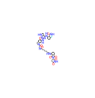 CNC(=O)c1c(F)cccc1Nc1nc(Nc2cc3c(cc2OC)CCN3C(=O)CN(C)C(=O)CCCCCCNc2cccc3c2C(=O)N(C2CCC(=O)NC2=O)C3=O)nc2[nH]ccc12